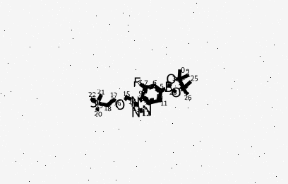 CC1(C)OB(c2cc(F)c3c(c2)nnn3COCC[Si](C)(C)C)OC1(C)C